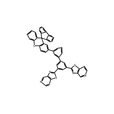 c1cc(-c2cc(-c3nc4cnccc4s3)cc(-c3nc4cnccc4s3)c2)cc(-c2ccc3c(c2)C2(c4ccccc4O3)c3ccccc3-c3ccccc32)c1